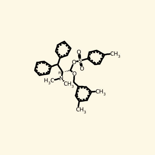 Cc1ccc(S(=O)(=O)OC(OCc2cc(C)cc(C)c2)[C@@H](C(c2ccccc2)c2ccccc2)N(C)C)cc1